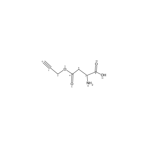 C#CCOC(=O)CC(N)C(=O)O